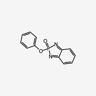 O=P1(Oc2ccccc2)N=c2ccccc2=N1